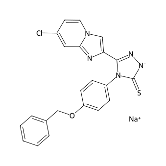 S=c1[n-]nc(-c2cn3ccc(Cl)cc3n2)n1-c1ccc(OCc2ccccc2)cc1.[Na+]